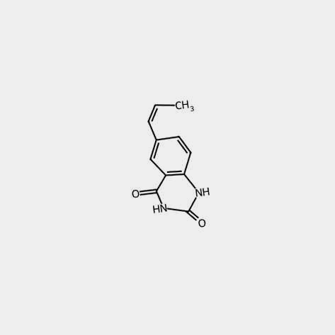 C/C=C\c1ccc2[nH]c(=O)[nH]c(=O)c2c1